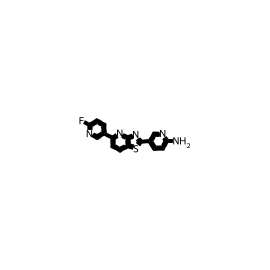 Nc1ccc(-c2nc3nc(-c4ccc(F)nc4)ccc3s2)cn1